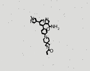 C=CC(=O)N1CC2(CCN(c3ccc(-c4cc(-c5cnn(C)c5)cn5ncc(C(N)=O)c45)cc3)CC2)C1